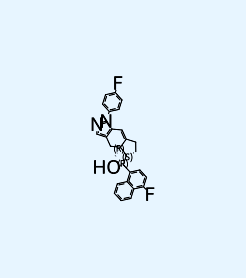 C[C@]12Cc3cnn(-c4ccc(F)cc4)c3C=C1CC[C@@H]2[C@@H](O)c1ccc(F)c2ccccc12